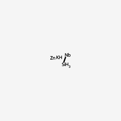 [KH].[SiH3][Nb].[Zn]